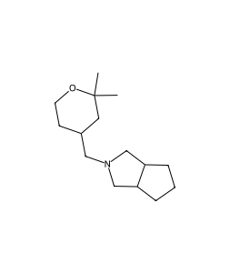 CC1(C)CC(CN2CC3CCCC3C2)CCO1